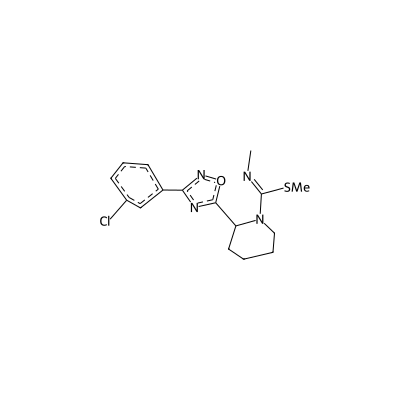 CN=C(SC)N1CCCCC1c1nc(-c2cccc(Cl)c2)no1